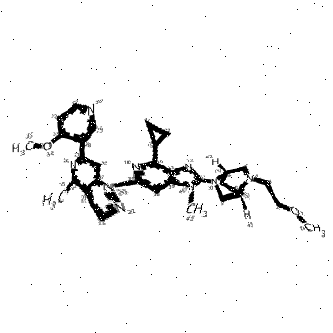 COCCN1C[C@@H]2C[C@H]1CN2c1nc2c(C3CC3)nc(-n3ncc4c(C)nc(-c5cnccc5OC)cc43)cc2n1C